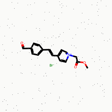 COC(=O)C[n+]1ccc(C=Cc2ccc(C=O)cc2)cc1.[Br-]